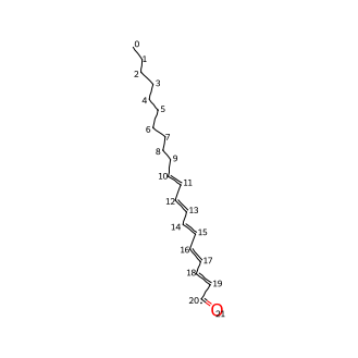 CCCCCCCCCCC=CC=CC=CC=CC=C[C]=O